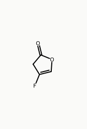 O=C1CC(F)=CO1